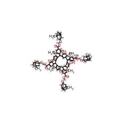 COc1cc(O)c2cc1C(c1ccc(C(=O)OCOC34CC5CC(CC(C)(C5)C3)C4)cc1)c1cc(c(OC)cc1O)C(c1ccc(C(=O)OCOC34CC5CC(CC(C)(C5)C3)C4)cc1)c1cc(c(OC)cc1O)C(c1ccc(C(=O)OCOC34CC5CC(CC(C)(C5)C3)C4)cc1)c1cc(c(OC)cc1O)C2c1ccc(C(=O)OCOC23CC4CC(CC(C)(C4)C2)C3)cc1